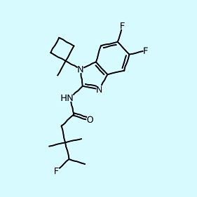 CC(F)C(C)(C)CC(=O)Nc1nc2cc(F)c(F)cc2n1C1(C)CCC1